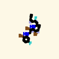 C#C/C=C\C(F)=C/CNC(=C(\Br)CNc1cc(F)ccc1Br)/C(Br)=C\C#C